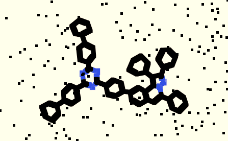 c1ccc(-c2ccc(-c3nc(-c4ccc(-c5ccccc5)cc4)nc(-c4ccc(-c5ccc6cc(-c7ccccc7)n7nc(-c8ccccc8)c(-c8ccccc8)c7c6c5)cc4)n3)cc2)cc1